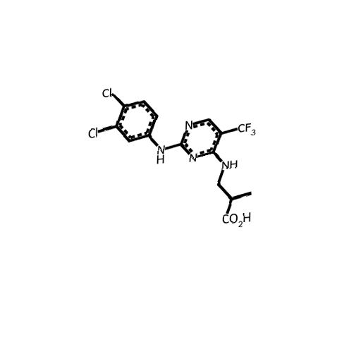 CC(CNc1nc(Nc2ccc(Cl)c(Cl)c2)ncc1C(F)(F)F)C(=O)O